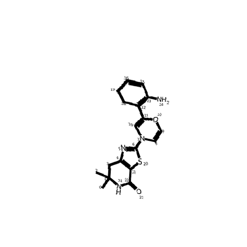 CC1(C)Cc2nc(N3C=COC(C4=C(N)C=CCC4)=C3)sc2C(=O)N1